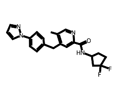 Cc1cnc(C(=O)NC2CCC(F)(F)C2)cc1Cc1ccc(-n2cccn2)cc1